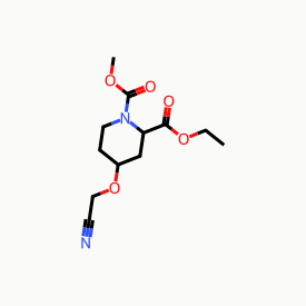 CCOC(=O)C1CC(OCC#N)CCN1C(=O)OC